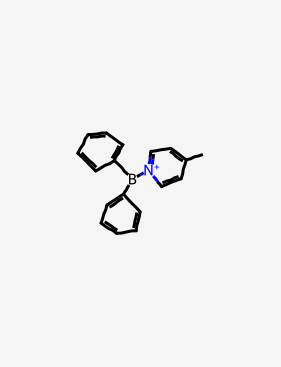 Cc1cc[n+](B(c2ccccc2)c2ccccc2)cc1